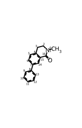 CN1CCc2ccc(-c3ccccc3)cc2C1=O